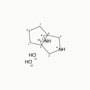 C1CC23CNCC2(C1)CNC3.Cl.Cl